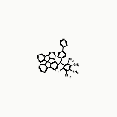 Bc1c(B)c(B)c(C(c2ccc(-c3ccccc3)cc2)c2ccc3c(c2)C2(c4ccccc4-c4ccccc42)c2ccccc2-3)c(B)c1B